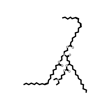 CCCCC/C=C\C/C=C\CCCCCCCC(=O)OCCN(CCOC(=O)CCCCCCC/C=C\CCCCCCCC)C(=O)CCC(CCCCCCCCCCCC)OC(=O)OCCCN(CC)CC